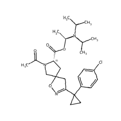 CC(=O)N1CC2(CC(C3(c4ccc(Cl)cc4)CC3)=NO2)C[C@H]1C(=O)OC(C)N(C(C)C)C(C)C